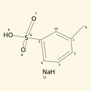 Cc1cccc(S(=O)(=O)O)c1.[NaH]